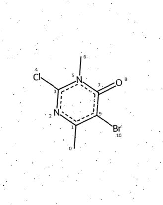 Cc1nc(Cl)n(C)c(=O)c1Br